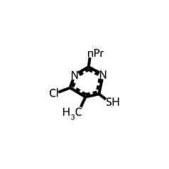 CCCc1nc(S)c(C)c(Cl)n1